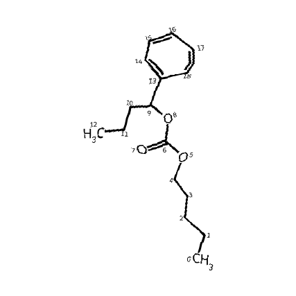 CCCCCOC(=O)OC(CCC)c1ccccc1